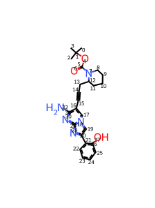 CC(C)(C)OC(=O)N1CCCCC1CC#Cc1cn2cc(-c3ccccc3O)nc2nc1N